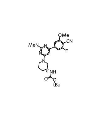 CNc1nc(-c2cc(F)c(C#N)c(OC)c2)cc(N2CCC[C@@H](NC(=O)OC(C)(C)C)C2)n1